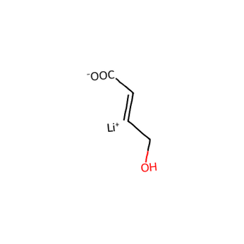 O=C([O-])C=CCO.[Li+]